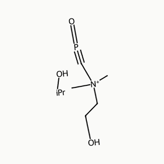 CC(C)O.C[N+](C)(C#P=O)CCO